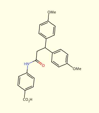 COc1ccc(C(CC(=O)Nc2ccc(C(=O)O)cc2)c2ccc(OC)cc2)cc1